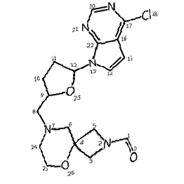 O=CN1CC2(C1)CN(CC1CCC(n3ccc4c(Cl)ncnc43)O1)CCO2